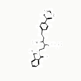 O=C(O)C(CCN1C(=O)c2ccccc2C1=O)C(O)CCc1ccc(-c2cncnc2)cc1